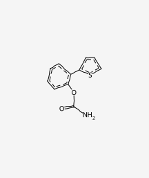 NC(=O)Oc1ccccc1-c1cccs1